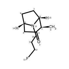 C[C@H]1C(=O)C[C@@H]2CC[C@H]1N2CCCF